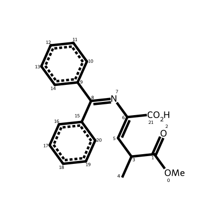 COC(=O)C(C)C=C(N=C(c1ccccc1)c1ccccc1)C(=O)O